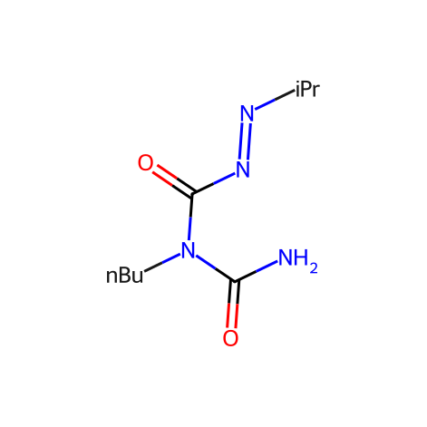 CCCCN(C(N)=O)C(=O)N=NC(C)C